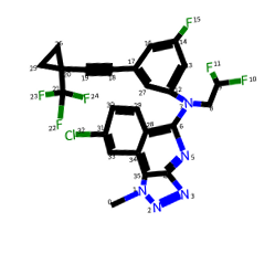 Cn1nnc2nc(N(CC(F)F)c3cc(F)cc(C#CC4(C(F)(F)F)CC4)c3)c3ccc(Cl)cc3c21